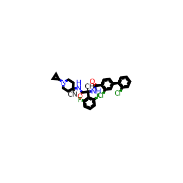 C[C@@](NC(=O)c1ccc(-c2ccccc2Cl)cc1Cl)(C(=O)NC1(C#N)CCN(C2CC2)CC1)c1c(F)cccc1F